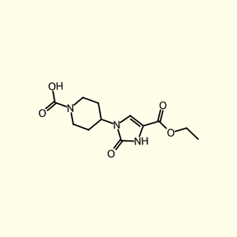 CCOC(=O)c1cn(C2CCN(C(=O)O)CC2)c(=O)[nH]1